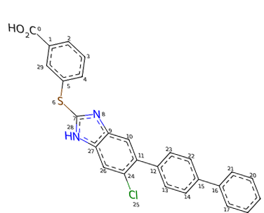 O=C(O)c1cccc(Sc2nc3cc(-c4ccc(-c5ccccc5)cc4)c(Cl)cc3[nH]2)c1